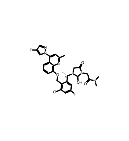 Cc1cc(-n2cc(F)cn2)c2cccc(OCc3c(Cl)cc(F)cc3[C@H](C)N3CC(=O)N(CC(=O)N(C)C)C3O)c2n1